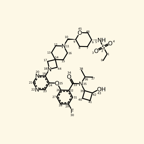 CCS(=O)(=O)N[C@@H]1CC[C@@H](CN2CCC3(CC2)CN(c2ncncc2Oc2ccc(F)cc2C(=O)N(C(C)C)C2CCC2O)C3)OC1